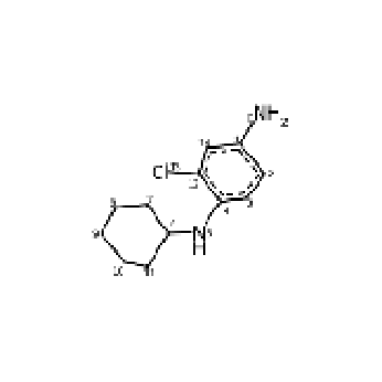 Nc1ccc(NC2CCCCC2)c(Cl)c1